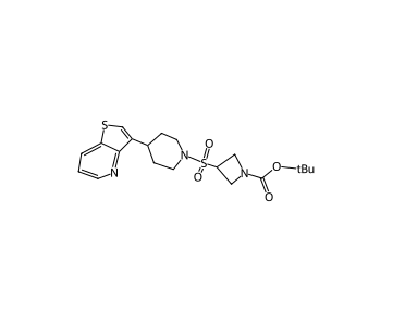 CC(C)(C)OC(=O)N1CC(S(=O)(=O)N2CCC(c3csc4cccnc34)CC2)C1